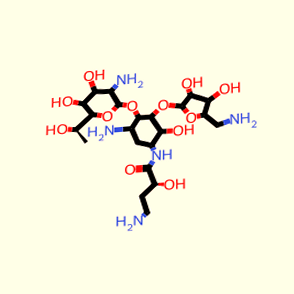 C[C@@H](O)C1OC(OC2C(N)CC(NC(=O)[C@@H](O)CCN)C(O)C2OC2OC(CN)C(O)C2O)C(N)C(O)C1O